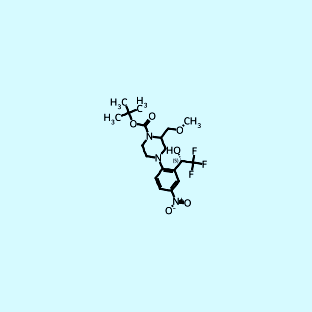 COCC1CN(c2ccc([N+](=O)[O-])cc2[C@H](O)C(F)(F)F)CCN1C(=O)OC(C)(C)C